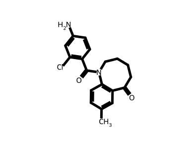 Cc1ccc2c(c1)C(=O)CCCCN2C(=O)c1ccc(N)cc1Cl